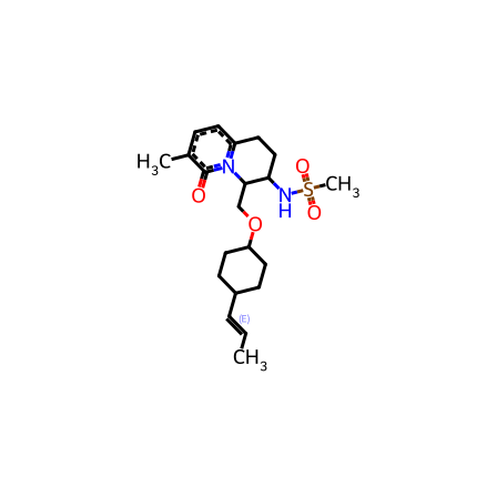 C/C=C/C1CCC(OCC2C(NS(C)(=O)=O)CCc3ccc(C)c(=O)n32)CC1